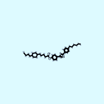 CCCCCCc1ccc(-c2ncc(-c3ccc(OC(=O)CCCCC4CCC(CCCC)CC4)cc3)s2)cc1